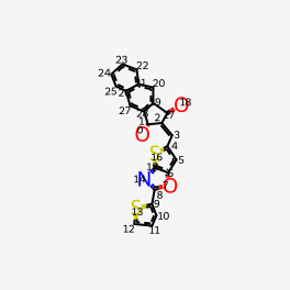 O=C1C(=Cc2cc3oc(-c4cccs4)nc3s2)C(=O)c2cc3ccccc3cc21